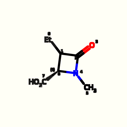 CCC1C(=O)N(C)[C@@H]1C(=O)O